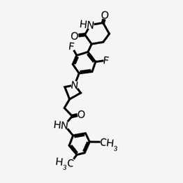 Cc1cc(C)cc(NC(=O)CC2CN(c3cc(F)c(C4CCC(=O)NC4=O)c(F)c3)C2)c1